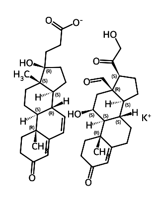 C[C@]12CCC(=O)C=C1C=C[C@@H]1[C@@H]2CC[C@@]2(C)[C@H]1CC[C@@]2(O)CCC(=O)[O-].C[C@]12CCC(=O)C=C1CC[C@@H]1[C@@H]2[C@@H](O)C[C@]2(C=O)[C@@H](C(=O)CO)CC[C@@H]12.[K+]